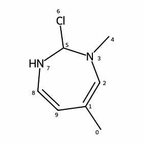 CC1=CN(C)C(Cl)NC=C1